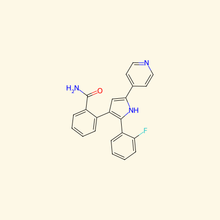 NC(=O)c1ccccc1-c1cc(-c2ccncc2)[nH]c1-c1ccccc1F